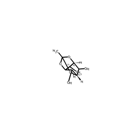 C[C@H]1C2OC3(C)O[C@H](C2O)C(O)[C@@H]1O3